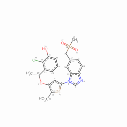 C[C@@H](Oc1cc(-n2cnc3ccc(CS(C)(=O)=O)cc32)sc1C(=O)O)c1cccc(O)c1Cl